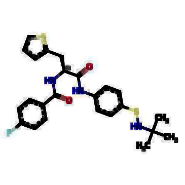 CC(C)(C)NSc1ccc(NC(=O)[C@H](Cc2cccs2)NC(=O)c2ccc(F)cc2)cc1